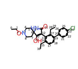 CCON1CCC2(CC1)NC(=O)C(c1c(CC)ccc(-c3ccc(Cl)cc3)c1CC)=C2O